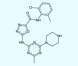 Cc1nc(Nc2nnc(C(=O)Nc3c(C)cccc3Cl)o2)nc(N2CCNCC2)n1